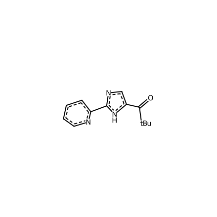 CC(C)(C)C(=O)c1cnc(-c2ccccn2)[nH]1